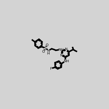 Cc1ccc(S(=O)(=O)NCCNc2nc(Nc3ccc(F)cc3)cc(C(C)C)n2)cc1